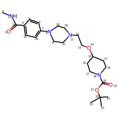 CNC(=O)c1ccc(N2CCN(CCOC3CCN(C(=O)OC(C)(C)C)CC3)CC2)cc1